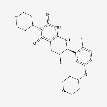 O=c1[nH]c2c(c(=O)n1C1CCOCC1)C[C@H](F)[C@H](c1cc(OC3CCOCC3)ccc1F)N2